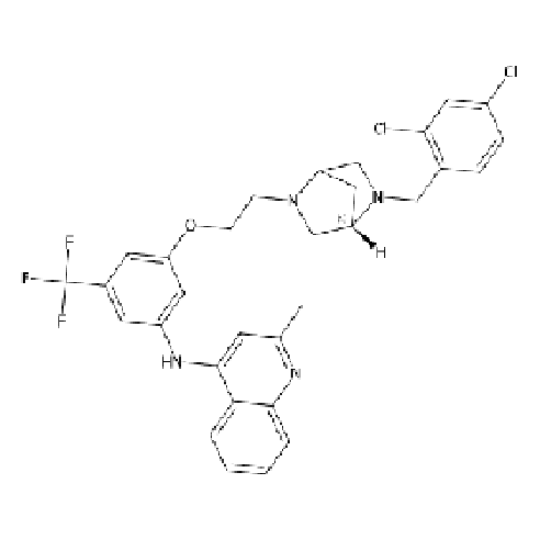 Cc1cc(Nc2cc(OCCN3C[C@@H]4CC3CN4Cc3ccc(Cl)cc3Cl)cc(C(F)(F)F)c2)c2ccccc2n1